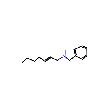 CCCCC=CCNCc1ccccc1